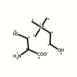 C[N+](C)(C)CCO.NC(CS)C(=O)[O-]